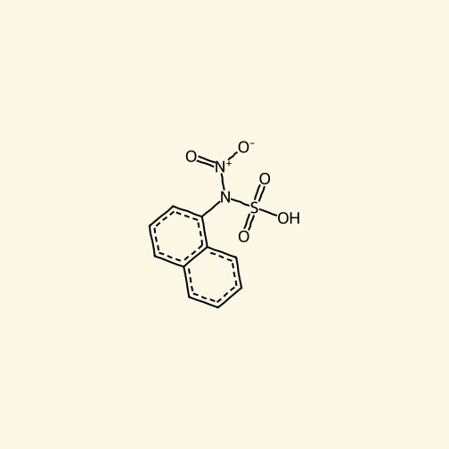 O=[N+]([O-])N(c1cccc2ccccc12)S(=O)(=O)O